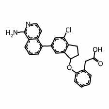 Nc1nccc2c(-c3cc(Cl)c4c(c3)C(Oc3ccccc3CC(=O)O)CC4)cccc12